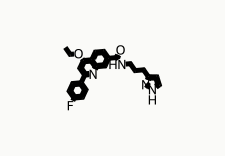 CCOc1cc(-c2ccc(F)cc2)nc2cc(C(=O)NCCCc3cc[nH]n3)ccc12